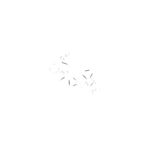 CC(C)(F)c1nc2ccccc2n1Cc1ccc(C(=O)N[C@@H]2CCOC[C@@H]2C(=O)NO)cc1